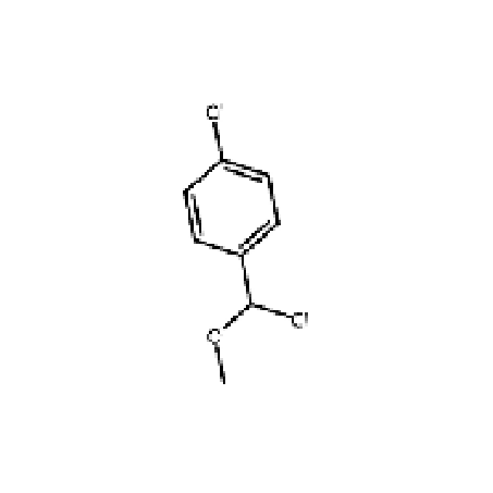 COC(Cl)c1ccc(Cl)cc1